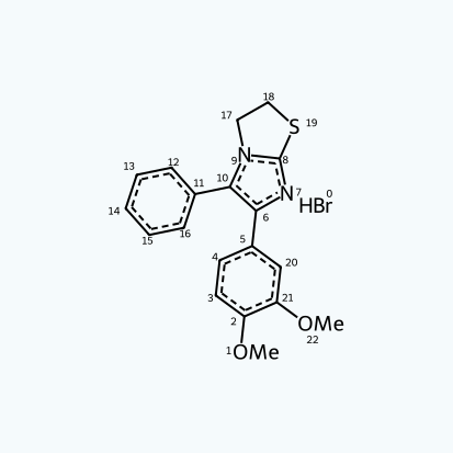 Br.COc1ccc(-c2nc3n(c2-c2ccccc2)CCS3)cc1OC